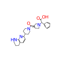 O=C(O)C(c1ccccc1)N1CC[C@@H](C(=O)N2CCC(c3ccc4c(n3)NCCC4)CC2)C1